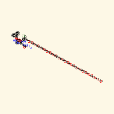 COCCOCCOCCOCCOCCOCCOCCOCCOCCOCCOCCOCCOCCOCCOCCOCCOCCOCCOCCOCCOCCOCCOCCOCCOCCCc1cc(NC(=O)[C@H](CCCNC(N)=O)NC(=O)[C@@H](NC(=O)OCC2c3ccccc3-c3ccccc32)C(C)C)ccc1CCl